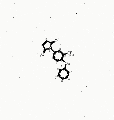 O=C1C=CC(=O)N1c1ccc(Oc2cc[c]cc2)c(C(F)(F)F)c1